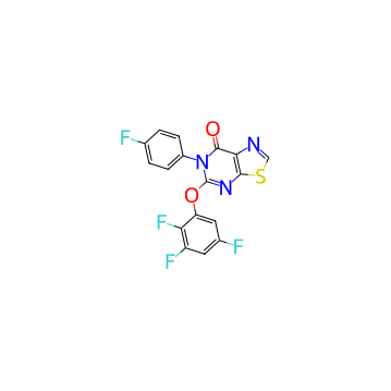 O=c1c2ncsc2nc(Oc2cc(F)cc(F)c2F)n1-c1ccc(F)cc1